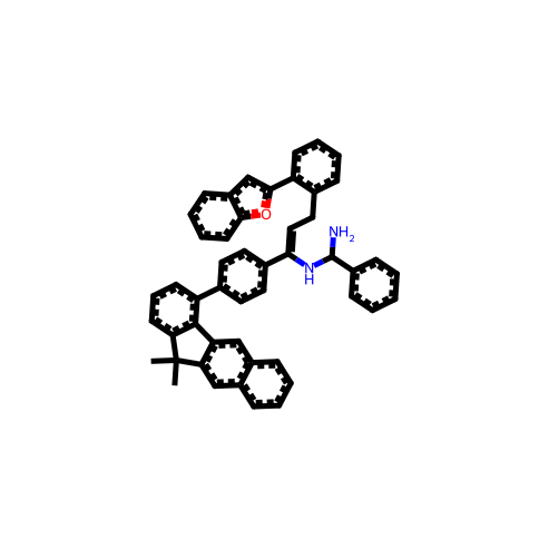 CC1(C)c2cc3ccccc3cc2-c2c(-c3ccc(/C(=C/Cc4ccccc4-c4cc5ccccc5o4)NC(N)c4ccccc4)cc3)cccc21